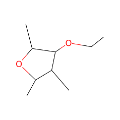 CCOC1C(C)OC(C)C1C